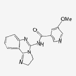 COc1cncc(C(=O)NC2=Nc3ccccc3C3=NCCN23)c1